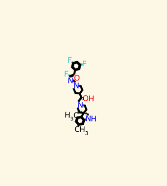 Cc1ccc2c(c1)NC[C@@]21CCN(C[C@@H](O)C2CCN(c3nc(F)c(-c4cc(F)cc(F)c4)o3)CC2)C[C@@H]1C